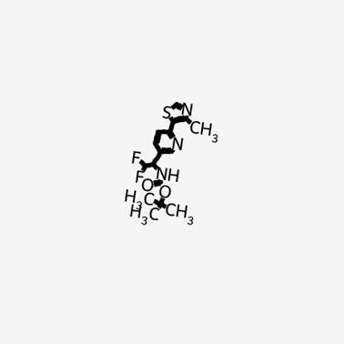 Cc1ncsc1-c1ccc(C(NC(=O)OC(C)(C)C)C(F)F)cn1